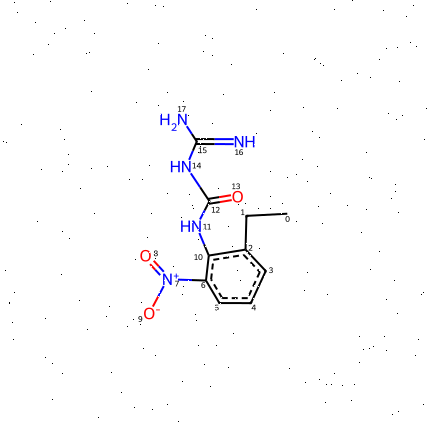 CCc1cccc([N+](=O)[O-])c1NC(=O)NC(=N)N